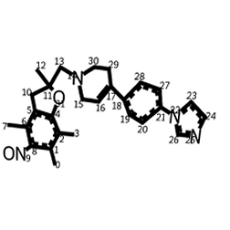 Cc1c(C)c2c(c(C)c1N=O)CC(C)(CN1CC=C(c3ccc(-n4ccnc4)cc3)CC1)O2